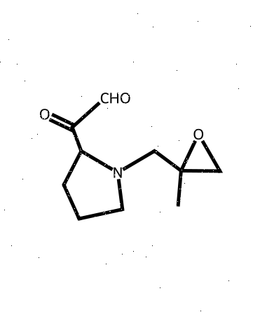 CC1(CN2CCCC2C(=O)C=O)CO1